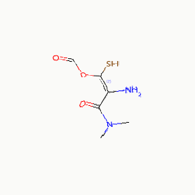 CN(C)C(=O)/C(N)=C(/S)OC=O